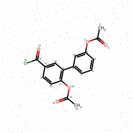 CC(=O)Oc1cccc(-c2cc(C(=O)Cl)ccc2OC(C)=O)c1